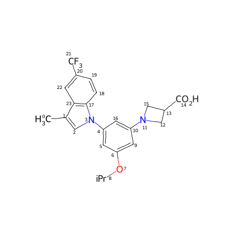 Cc1cn(-c2cc(OC(C)C)cc(N3CC(C(=O)O)C3)c2)c2ccc(C(F)(F)F)cc12